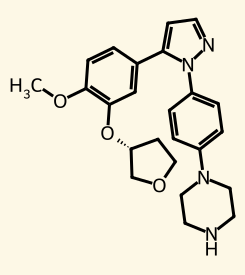 COc1ccc(-c2ccnn2-c2ccc(N3CCNCC3)cc2)cc1O[C@@H]1CCOC1